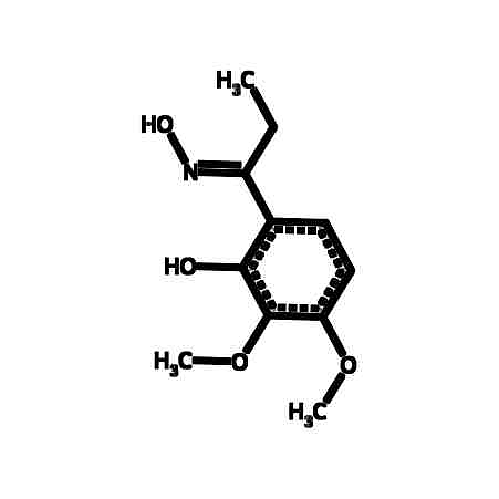 CCC(=NO)c1ccc(OC)c(OC)c1O